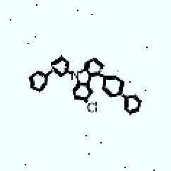 Clc1ccc2c(c1)c1c(-c3ccc(-c4ccccc4)cc3)cccc1n2-c1cccc(-c2ccccc2)c1